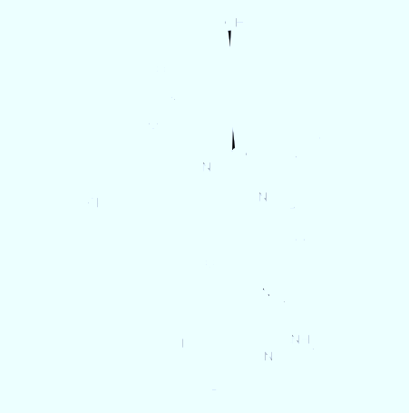 CN(N)/C(=C(\N)COc1ccc(Cl)c2c1C(CN1CC3(CC3)CC1=O)N(C(=O)[C@@H]1CC[C@H](O)C[C@]1(C)C(=O)O)CC2)C(F)F